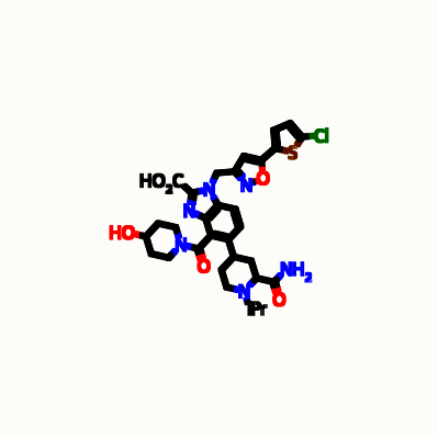 CC(C)N1CCC(c2ccc3c(nc(C(=O)O)n3Cc3cc(-c4ccc(Cl)s4)on3)c2C(=O)N2CCC(O)CC2)CC1C(N)=O